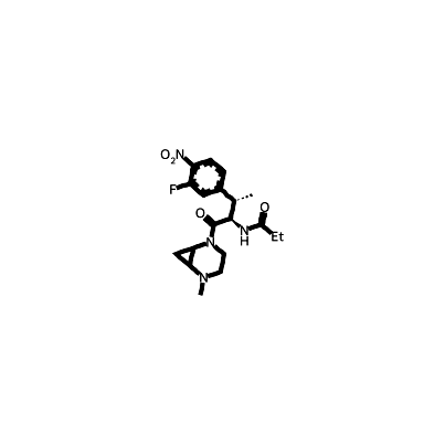 CCC(=O)N[C@@H](C(=O)N1CCN(C)C2CC21)[C@@H](C)c1ccc([N+](=O)[O-])c(F)c1